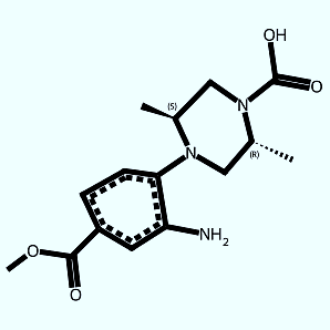 COC(=O)c1ccc(N2C[C@@H](C)N(C(=O)O)C[C@@H]2C)c(N)c1